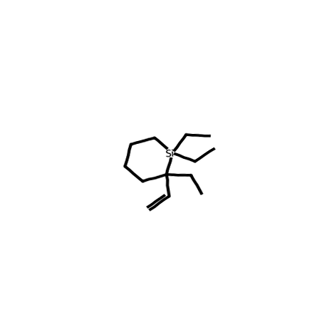 C=CC1(CC)CCCC[Si]1(CC)CC